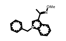 CON=C(C)c1cn(Cc2ccccc2)c2ccccc12